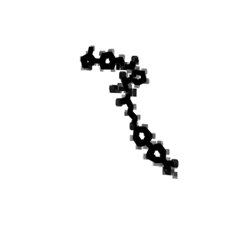 Cc1ccsc1-c1ccc(CNC(=O)[C@@H]2CCCN2C(=O)[C@@H](NC(=O)CCCOc2ccc(-c3ccc(C(N)=O)cc3)cc2)C(C)(C)C)cc1